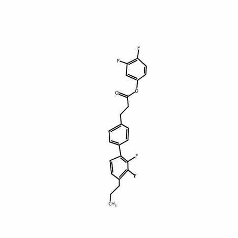 CCCc1ccc(-c2ccc(CCC(=O)Oc3ccc(F)c(F)c3)cc2)c(F)c1F